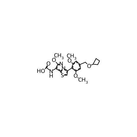 COc1cc(COC2CCC2)cc(OC)c1-c1csc2c(NC(=O)O)c(OC)nn12